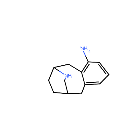 Nc1cccc2c1CC1CCC(CN1)C2